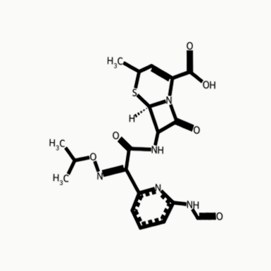 CC(C)O/N=C(\C(=O)NC1C(=O)N2C(C(=O)O)=CC(C)S[C@H]12)c1cccc(NC=O)n1